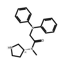 CN(C(=O)CN(c1ccccc1)c1ccccc1)[C@@H]1CCNC1